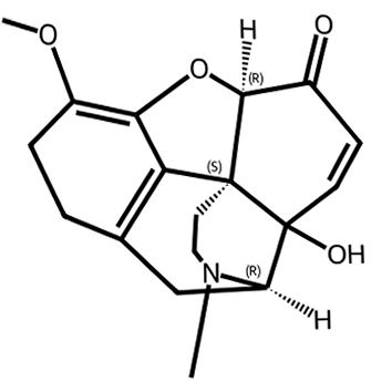 COC1=C2O[C@H]3C(=O)C=CC4(O)[C@H]5CC(=C2[C@@]34CCN5C)CC1